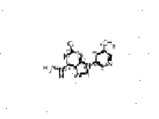 Cc1cncc(-n2cnc3c(NN)nc(Cl)nc32)c1